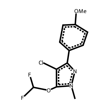 COc1ccc(-c2nn(C)c(OC(F)F)c2Cl)cc1